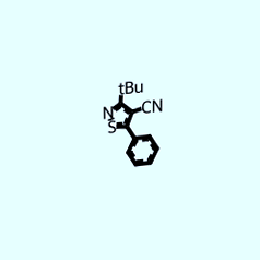 CC(C)(C)c1nsc(-c2ccccc2)c1C#N